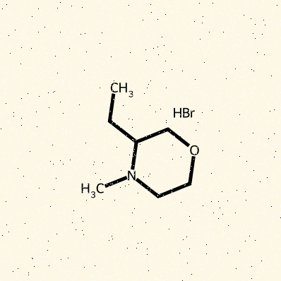 Br.CCC1COCCN1C